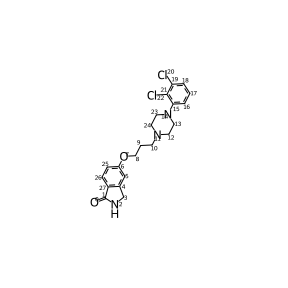 O=C1NCc2cc(OCCCN3CCN(c4cccc(Cl)c4Cl)CC3)ccc21